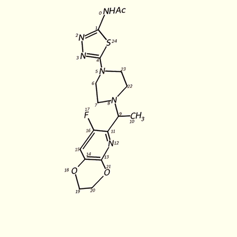 CC(=O)Nc1nnc(N2CCN(C(C)c3nc4c(cc3F)OCCO4)CC2)s1